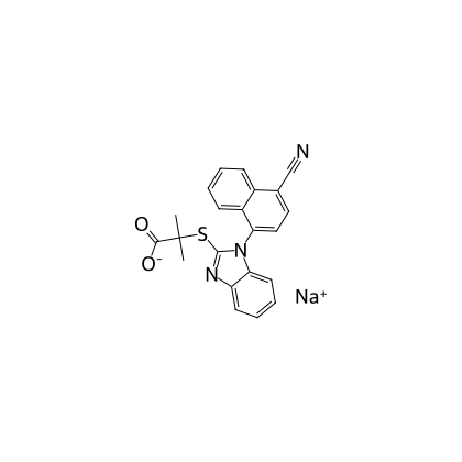 CC(C)(Sc1nc2ccccc2n1-c1ccc(C#N)c2ccccc12)C(=O)[O-].[Na+]